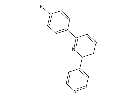 Fc1ccc(C2=NC(c3ccncc3)CN=C2)cc1